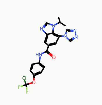 CC(C)n1cnc2cc(C(=O)Nc3ccc(OC(F)(F)Cl)cc3)cc(-n3cnnc3)c21